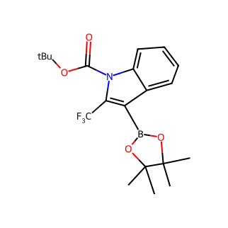 CC(C)(C)OC(=O)n1c(C(F)(F)F)c(B2OC(C)(C)C(C)(C)O2)c2ccccc21